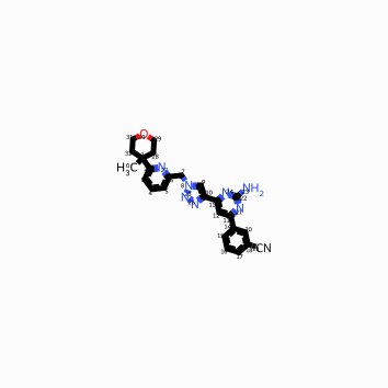 CC1(c2cccc(Cn3cc(-c4cc(-c5cccc(C#N)c5)nc(N)n4)nn3)n2)CCOCC1